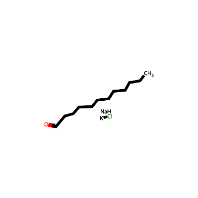 CCCCCCCCCCCC=O.[Cl][K].[NaH]